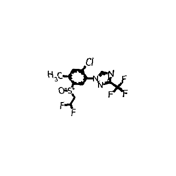 Cc1cc(Cl)c(-n2cnc(C(F)(F)F)n2)cc1[S+]([O-])CC(F)F